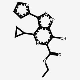 CCOC(=O)c1nc(C2CC2)c2c(-c3cccs3)noc2c1O